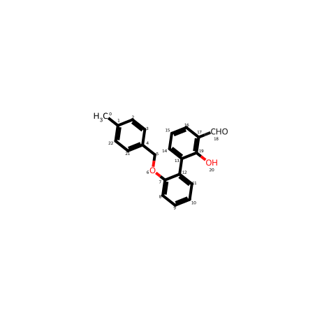 Cc1ccc(COc2ccccc2-c2cccc(C=O)c2O)cc1